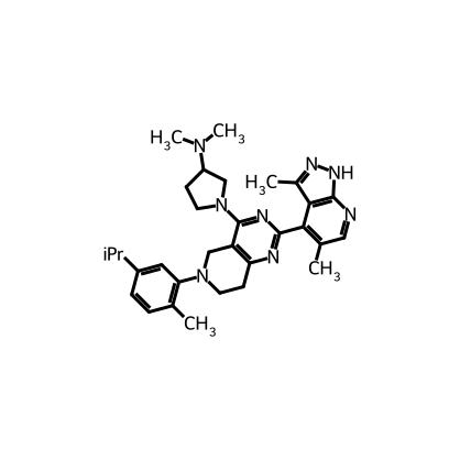 Cc1ccc(C(C)C)cc1N1CCc2nc(-c3c(C)cnc4[nH]nc(C)c34)nc(N3CCC(N(C)C)C3)c2C1